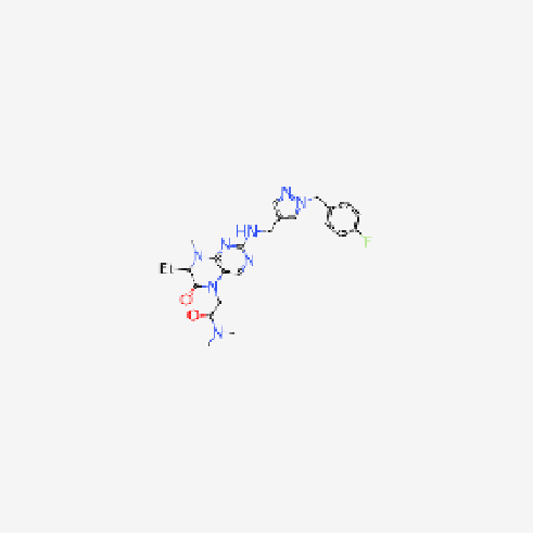 CCC1C(=O)N(CC(=O)N(C)C)c2cnc(NCc3cnn(Cc4ccc(F)cc4)c3)nc2N1C